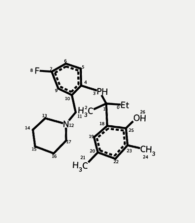 CCC(C)(Pc1ccc(F)cc1CN1CCCCC1)c1cc(C)cc(C)c1O